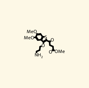 COC(=O)CCC(=O)c1sc2cc(OC)c(OC)cc2c1OCCCN